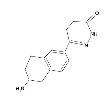 NC1CCc2cc(C3=NNC(=O)CC3)ccc2C1